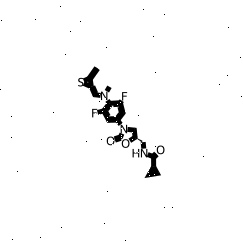 C=C1S/C1=C/N(C)c1c(F)cc(N2C[C@H](CNC(=O)C3CC3)OC2=O)cc1F